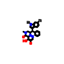 CCc1ccc2c(C(c3ccccc3)C3CN(C)C(=O)c4c(O)c(=O)cnn43)cn(CC)c2c1